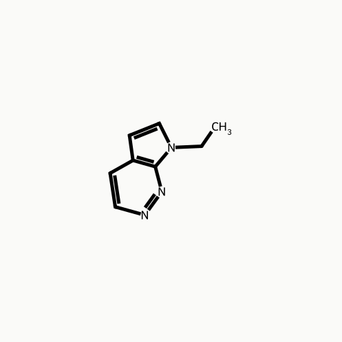 CCn1ccc2ccnnc21